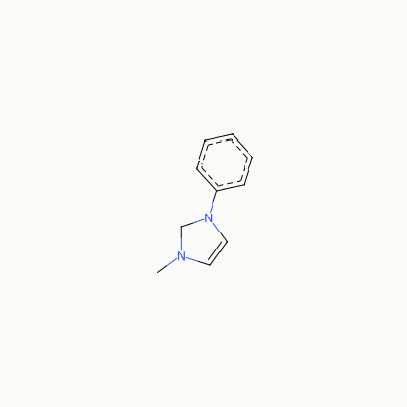 CN1C=CN(c2ccccc2)C1